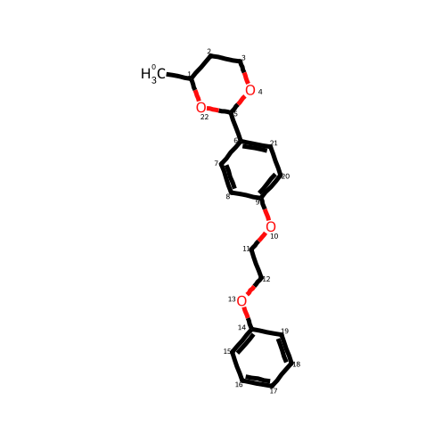 CC1CCOC(c2ccc(OCCOc3ccccc3)cc2)O1